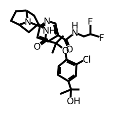 CC(C)(Oc1ccc(C(C)(C)O)cc1Cl)C(=O)NC1CC2CCC(C1)N2c1ccc(C(=O)NCC(F)F)cn1